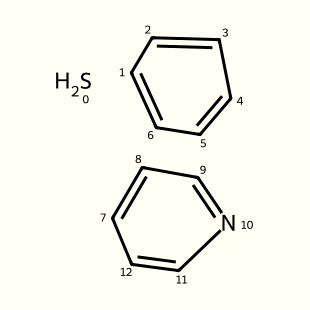 S.c1ccccc1.c1ccncc1